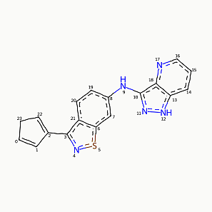 C1=CC(c2nsc3cc(Nc4n[nH]c5cccnc45)ccc23)=CC1